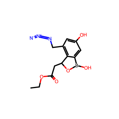 CCOC(=O)CC1OB(O)c2cc(O)cc(CN=[N+]=[N-])c21